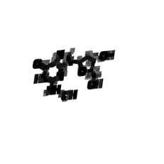 Cl.Nc1nc2c(ncn2C2C[C@H](O)[C@@H](CO)O2)c(=O)[nH]1